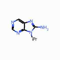 CC(C)n1c(N)nc2cncnc21